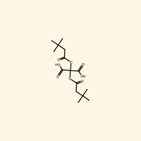 CC(C)(C)CC(=O)OC(OC(=O)CC(C)(C)C)(C(=O)O)C(=O)O